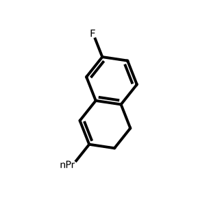 CCCC1=Cc2cc(F)ccc2CC1